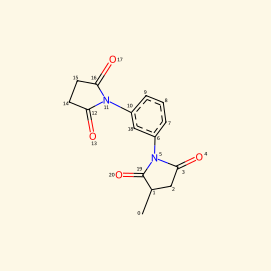 CC1CC(=O)N(c2cccc(N3C(=O)CCC3=O)c2)C1=O